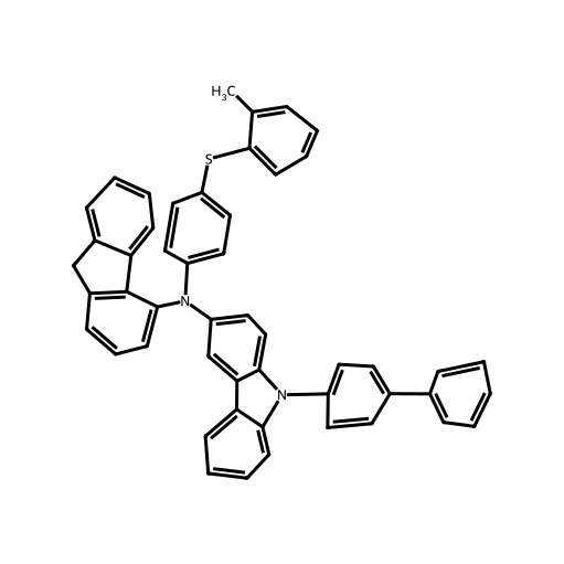 Cc1ccccc1Sc1ccc(N(c2ccc3c(c2)c2ccccc2n3-c2ccc(-c3ccccc3)cc2)c2cccc3c2-c2ccccc2C3)cc1